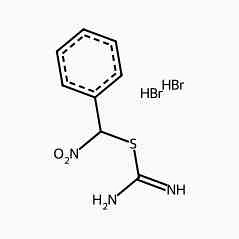 Br.Br.N=C(N)SC(c1ccccc1)[N+](=O)[O-]